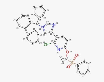 O=S(=O)(c1ccccc1)C1(Oc2ccc(-c3cn(C(c4ccccc4)(c4ccccc4)c4ccccc4)cn3)c(Cl)n2)CC1